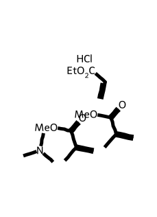 C=C(C)C(=O)OC.C=C(C)C(=O)OC.C=CC(=O)OCC.CN(C)C.Cl